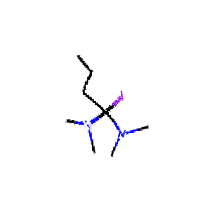 CCCC(I)(N(C)C)N(C)C